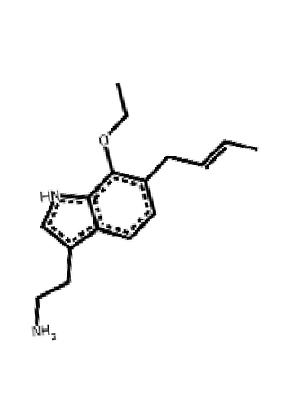 CC=CCc1ccc2c(CCN)c[nH]c2c1OCC